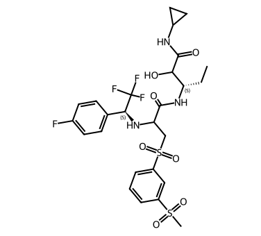 CC[C@H](NC(=O)C(CS(=O)(=O)c1cccc(S(C)(=O)=O)c1)N[C@@H](c1ccc(F)cc1)C(F)(F)F)C(O)C(=O)NC1CC1